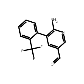 Nc1ncc(C=O)cc1-c1ccccc1C(F)(F)F